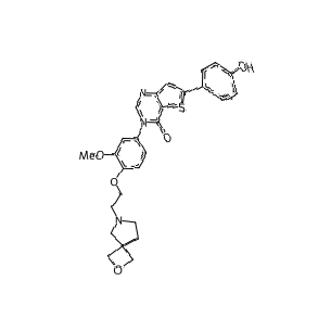 COc1cc(-n2cnc3cc(-c4ccc(O)cc4)sc3c2=O)ccc1OCCN1CCC2(COC2)C1